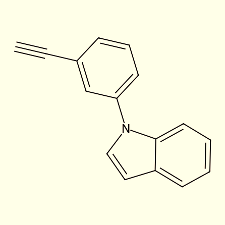 C#Cc1cccc(-n2ccc3ccccc32)c1